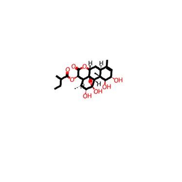 CCC(C)C(=O)O[C@H]1C(=O)O[C@@H]2C[C@H]3C(C)=C[C@H](O)[C@@H](O)[C@]3(C)[C@H]3[C@@]4(O)OC[C@]32[C@@H]1[C@@H](C)[C@H]4O